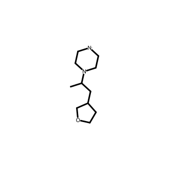 CC(CC1CCOC1)N1CC[N]CC1